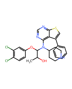 CC(O)C(Oc1ccc(Cl)c(Cl)c1)N(c1ncnc2scc(-c3ccccc3)c12)C1CCNCC1